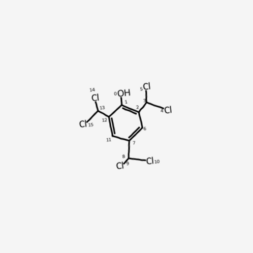 Oc1c(C(Cl)Cl)cc(C(Cl)Cl)cc1C(Cl)Cl